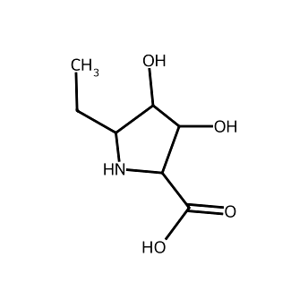 CCC1NC(C(=O)O)C(O)C1O